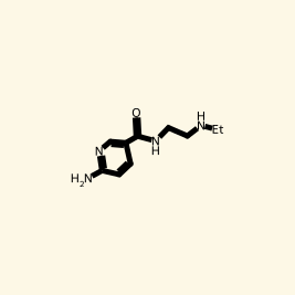 CCNCCNC(=O)c1ccc(N)nc1